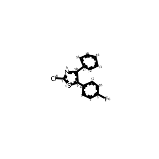 Fc1ccc(-c2sc(Cl)nc2-c2ccccc2)cc1